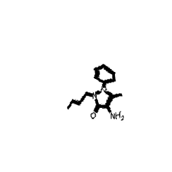 CCCCn1c(=O)c(N)c(C)n1-c1ccccc1